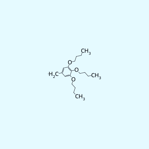 [CH2]c1cc(OCCCC)c(OCCCC)c(OCCCC)c1